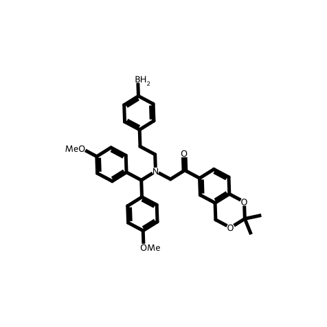 Bc1ccc(CCN(CC(=O)c2ccc3c(c2)COC(C)(C)O3)C(c2ccc(OC)cc2)c2ccc(OC)cc2)cc1